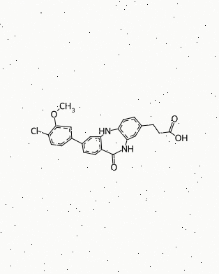 COc1cc(-c2ccc3c(c2)Nc2ccc(CCC(=O)O)cc2NC3=O)ccc1Cl